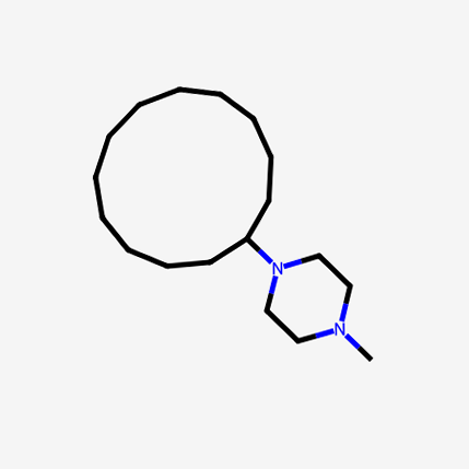 CN1CCN(C2CCCCCCCCCCCC2)CC1